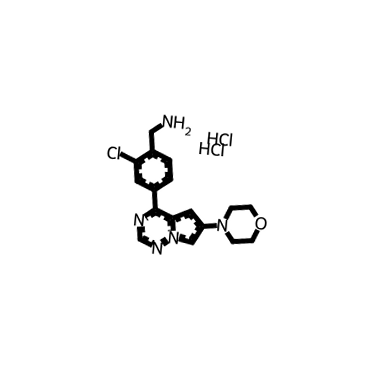 Cl.Cl.NCc1ccc(-c2ncnn3cc(N4CCOCC4)cc23)cc1Cl